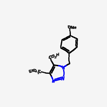 CCOC(=O)c1nnn(Cc2ccc(OC)cc2)c1C(=O)O